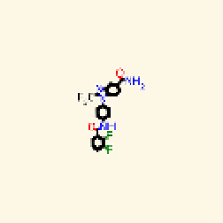 NC(=O)c1ccc2c(c1)nc(C(F)(F)F)n2-c1ccc(NC(=O)c2cccc(F)c2F)cc1